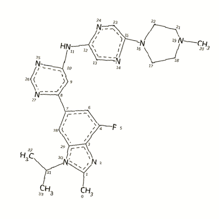 Cc1nc2c(F)cc(-c3cc(Nc4cnc(N5CCN(C)CC5)cn4)ncn3)cc2n1C(C)C